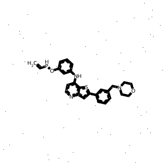 C=CPOc1cccc(Nc2ccnc3cc(-c4cccc(CN5CCOCC5)c4)sc23)c1